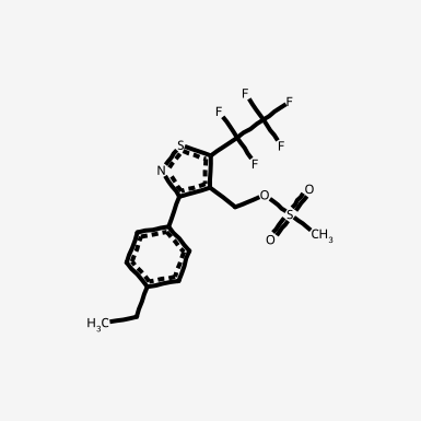 CCc1ccc(-c2nsc(C(F)(F)C(F)(F)F)c2COS(C)(=O)=O)cc1